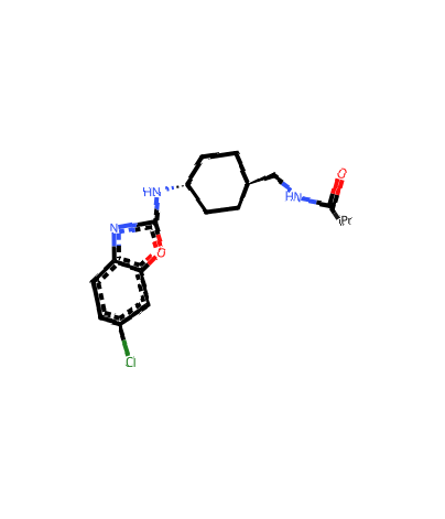 CC(C)C(=O)NC[C@H]1CC[C@H](Nc2nc3ccc(Cl)cc3o2)CC1